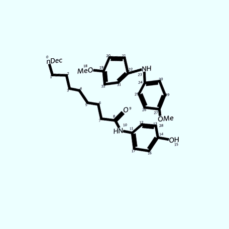 CCCCCCCCCCCCCCCCCC(=O)Nc1ccc(O)cc1.COc1ccc(Nc2ccc(OC)cc2)cc1